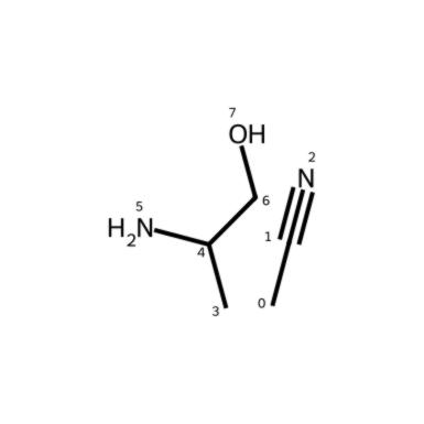 CC#N.CC(N)CO